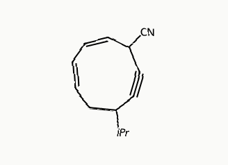 CC(C)C1C#CC(C#N)/C=C\C=C/C1